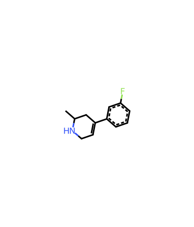 CC1CC(c2cccc(F)c2)=CCN1